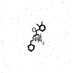 Cc1cccc(C(=O)C(N)=CNCc2ccccc2)c1C